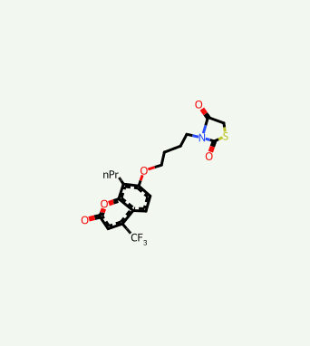 CCCc1c(OCCCCN2C(=O)CSC2=O)ccc2c(C(F)(F)F)cc(=O)oc12